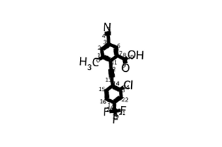 Cc1cc(C#N)cc(C(=O)O)c1C#Cc1ccc(C(F)(F)F)cc1Cl